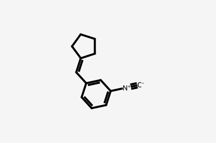 [C-]#[N+]c1cccc(C=C2CCCC2)c1